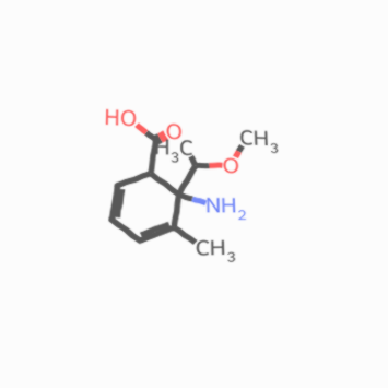 COC(C)C1(N)C(C)=CC=CC1C(=O)O